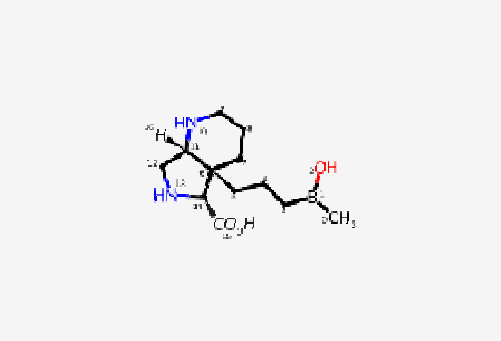 CB(O)CCC[C@]12CCCN[C@H]1CN[C@@H]2C(=O)O